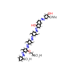 COc1cc(N=Nc2ccc3c(O)c(N=Nc4cc(C)c(N=Nc5cc(C)c(N=Nc6cc(C)c(N=Nc7ccccc7S(=O)(=O)O)cc6OCCCS(=O)(=O)O)cc5C)cc4C)ccc3c2)ccc1O